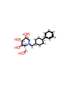 OC[C@@H]1[C@@H](O)[C@H](O)[C@@H](O)CN1CC1CCC(c2ccccc2)CC1